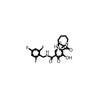 C[C@H]1[C@@H]2CCCCN1C(=O)c1c(O)c(=O)c(C(=O)NCc3c(F)cc(F)cc3F)cn12